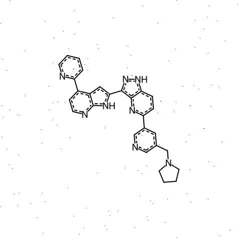 c1ccc(-c2ccnc3[nH]c(-c4n[nH]c5ccc(-c6cncc(CN7CCCC7)c6)nc45)cc23)nc1